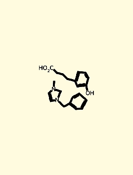 CN1C=CN(Cc2ccccc2)C1.O=C(O)CCCc1cccc(O)c1